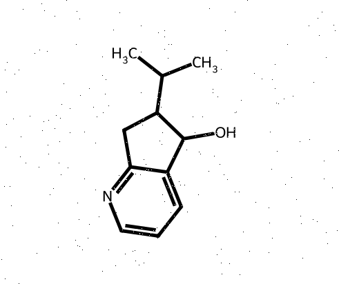 CC(C)C1Cc2ncccc2C1O